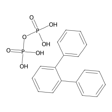 O=P(O)(O)OP(=O)(O)O.c1ccc(-c2ccccc2-c2ccccc2)cc1